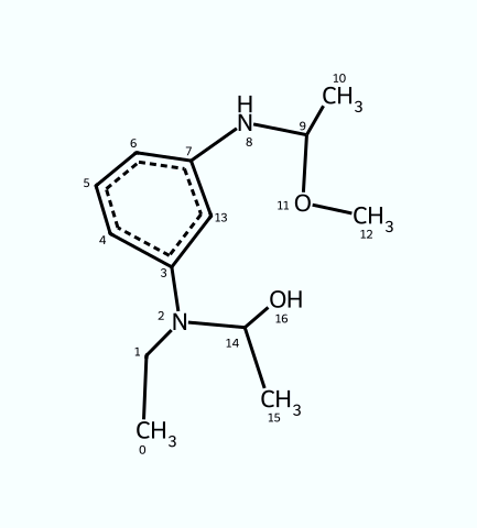 CCN(c1cccc(NC(C)OC)c1)C(C)O